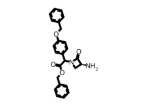 N[C@H]1CN(C(C(=O)OCc2ccccc2)c2ccc(OCc3ccccc3)cc2)C1=O